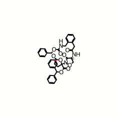 O=C(Cc1ccccc1CNC(=O)OCc1ccccc1)N[C@H]1CON(C2(C(=O)OC(c3ccccc3)c3ccccc3)CCC(=O)O2)C1=O